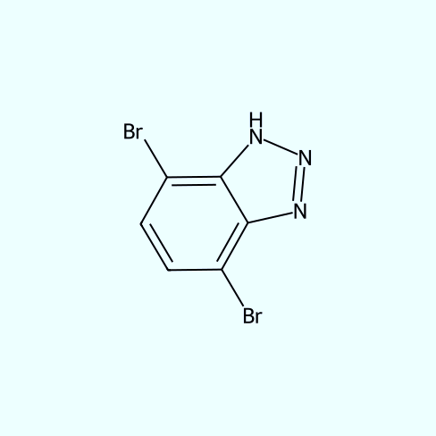 Brc1ccc(Br)c2[nH]nnc12